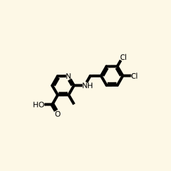 Cc1c(C(=O)O)ccnc1NCc1ccc(Cl)c(Cl)c1